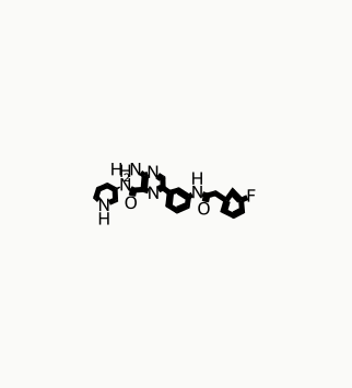 Nc1ncc(-c2cccc(NC(=O)Cc3cccc(F)c3)c2)nc1C(=O)N[C@H]1CCCNC1